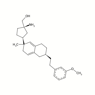 COc1cccc(CC[C@@H]2CCC3=CC(C)([C@H]4CC[C@](N)(CO)C4)CC=C3C2)c1